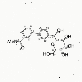 CNC(=O)c1cccc(-c2ccc([C@@H](O)[C@H]3O[C@H](CO)[C@@H](O)[C@H](O)[C@@H]3O)cc2)c1